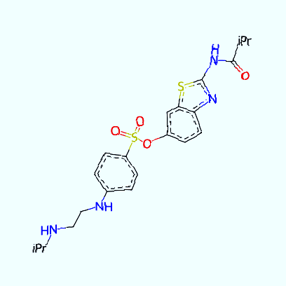 CC(C)NCCNc1ccc(S(=O)(=O)Oc2ccc3nc(NC(=O)C(C)C)sc3c2)cc1